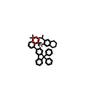 CC(C)c1cc2c(cc1N(c1ccccc1)c1cc3c(cc1-c1cccc4c1C(C)(C)CCC4(C)C)-c1ccccc1C3(c1ccccc1)c1ccccc1)CCCC2